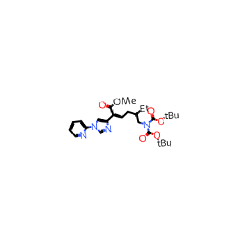 CCC(C/C=C(\C(=O)OC)c1cn(-c2ccccn2)cn1)CN(C(=O)OC(C)(C)C)C(=O)OC(C)(C)C